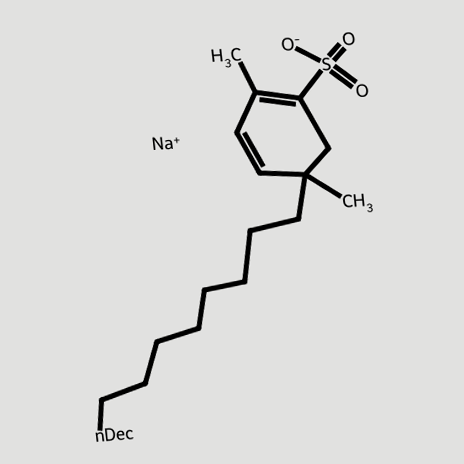 CCCCCCCCCCCCCCCCCCC1(C)C=CC(C)=C(S(=O)(=O)[O-])C1.[Na+]